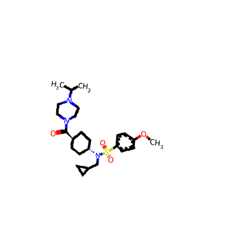 COc1ccc(S(=O)(=O)N(CC2CC2)[C@H]2CC[C@H](C(=O)N3CCN(C(C)C)CC3)CC2)cc1